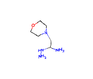 NNC(N)CN1CCOCC1